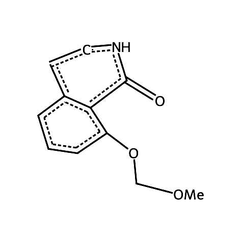 COCOc1cccc2c[c][nH]c(=O)c12